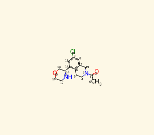 CC(=O)N1CCc2c(cc(Cl)cc2[C@@H]2COCCN2)C1